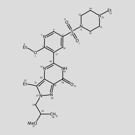 CCOc1ncc(S(=O)(=O)N2CCN(CC)CC2)cc1-c1nc2c(CC)n(CC(C)OC)nc2c(=O)[nH]1